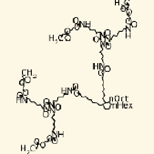 C=CC(=O)OCCOC(=O)NCCCCCCn1c(=O)n(CCCCCCNC(=O)OCCCCCCCCC2CCC(CCCCCC)C(CCCCCCCC)C2CCCCCCCCOC(=O)NCCCCCCn2c(=O)n(CCCCCCNC(=O)OCCOC(=O)C=C)c(=O)n(CCCCCCNC(=O)OCCOC(=O)C=C)c2=O)c(=O)n(CCCCCCNC(=O)OCCOC(=O)C=C)c1=O